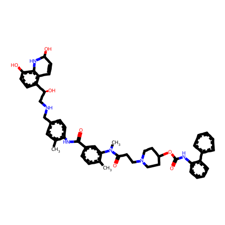 Cc1cc(CNC[C@H](O)c2ccc(O)c3c2C=CC(O)N3)ccc1NC(=O)c1ccc(C)c(N(C)C(=O)CCN2CCC(OC(=O)Nc3ccccc3-c3ccccc3)CC2)c1